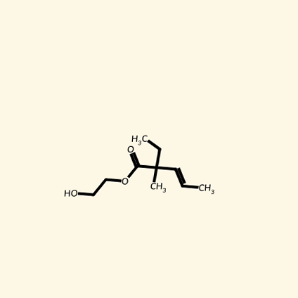 C/C=C/C(C)(CC)C(=O)OCCO